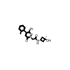 Cc1ccccc1-c1cc(=O)n(CC(=O)N[C@H]2C[C@](C)(O)C2)nc1C(C)C